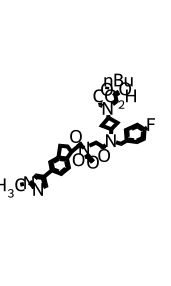 CCCCOC(=O)CN(CC(=O)O)C1CC(N(Cc2ccc(F)cc2)C(=O)CN2C(=O)OC3(CCc4cc(-c5cnn(C)c5)ccc43)C2=O)C1